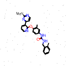 CNc1nccc(-c2cccnc2Oc2ccc(NC(=O)NCc3ccccc3C)cc2C)n1